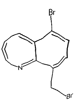 BrCc1ccc(Br)c2cccnc12